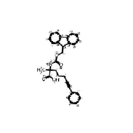 CC(CCCC#Cc1ccccc1)(NC(=O)OCC1c2ccccc2-c2ccccc21)C(=O)O